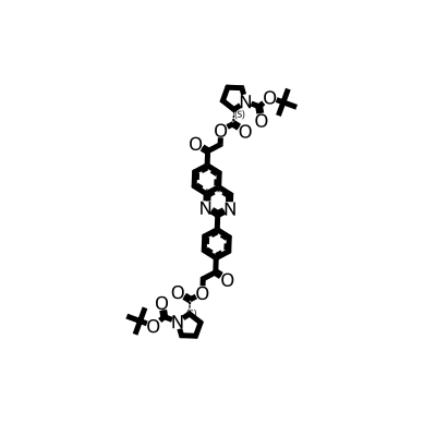 CC(C)(C)OC(=O)N1CCC[C@H]1C(=O)OCC(=O)c1ccc(-c2ncc3cc(C(=O)COC(=O)[C@@H]4CCCN4C(=O)OC(C)(C)C)ccc3n2)cc1